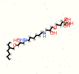 CCCCC(CC)COCC(O)CNCCCCCCNCC(O)COCCC[Si](O)(O)O